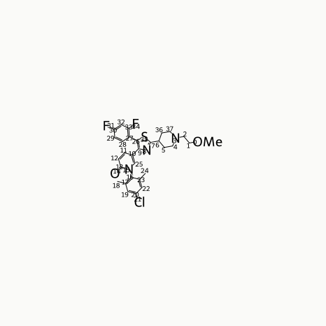 COCCN1CCC(c2nc(-c3ccc(=O)n(-c4c(C)cc(Cl)cc4C)c3)c(-c3ccc(F)cc3F)s2)CC1